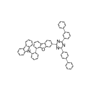 c1ccc(-c2ccc(-c3nc(-c4cccc(-c5ccccc5)c4)nc(-c4ccc5c(c4)oc4c(-c6ccccc6-n6c7ccccc7c7ccccc76)cccc45)n3)cc2)cc1